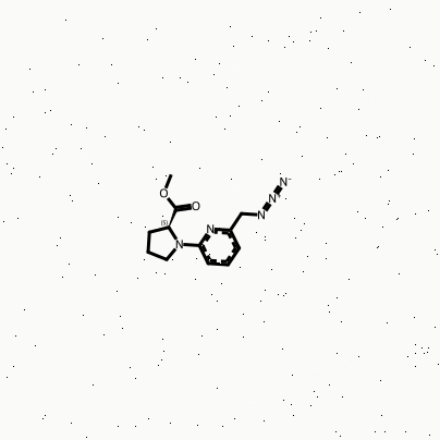 COC(=O)[C@@H]1CCCN1c1cccc(CN=[N+]=[N-])n1